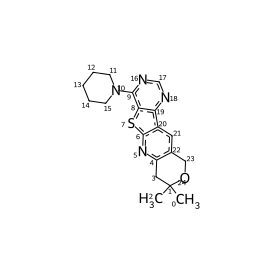 CC1(C)Cc2nc3sc4c(N5CCCCC5)ncnc4c3cc2CO1